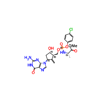 C=C1[C@H](CO[P@@](=O)(N[C@@H](C)C(=O)OC)Oc2ccc(Cl)cc2)[C@@H](O)C[C@@H]1n1cnc2c(=O)[nH]c(N)nc21